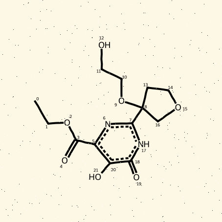 CCOC(=O)c1nc(C2(OCCO)CCOC2)[nH]c(=O)c1O